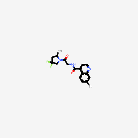 CCc1ccc2c(C(=O)NCC(=O)N3CC(F)(F)CC3C#N)ccnc2c1